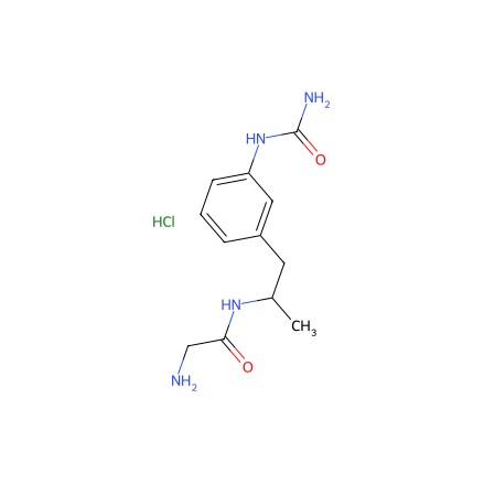 CC(Cc1cccc(NC(N)=O)c1)NC(=O)CN.Cl